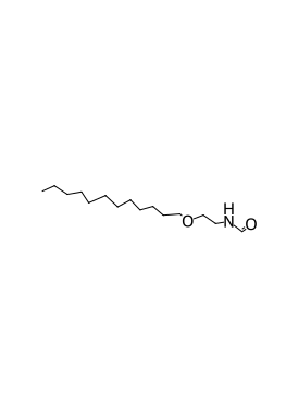 CCCCCCCCCCCCOCCNC=O